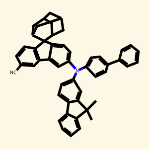 CC1(C)c2ccccc2-c2ccc(N(c3ccc(-c4ccccc4)cc3)c3ccc4c(c3)-c3cc(C#N)ccc3C43C4CC5CC(C4)CC3C5)cc21